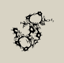 CC(=O)N[C@H]1Cc2cccc(c2)Oc2cccc(c2)C[C@@H](C(=O)NCC(F)(F)F)NC(=O)[C@H](CCc2ccc(CN3CCN(C(=O)[C@@H]4Cc5cccc(c5)Oc5cccc(c5)C[C@H](NC(=O)c5ccccn5)C(=O)N[C@@H](CCc5ccccc5)C(=O)N4)CC3)cc2)NC1=O